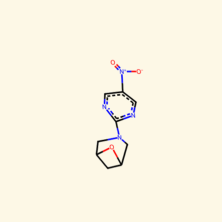 O=[N+]([O-])c1cnc(N2CC3CC(C2)O3)nc1